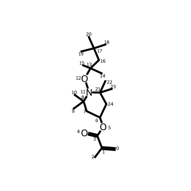 C=C(C)C(=O)OC1CC(C)(C)N(OC(C)(C)CC(C)(C)C)C(C)(C)C1